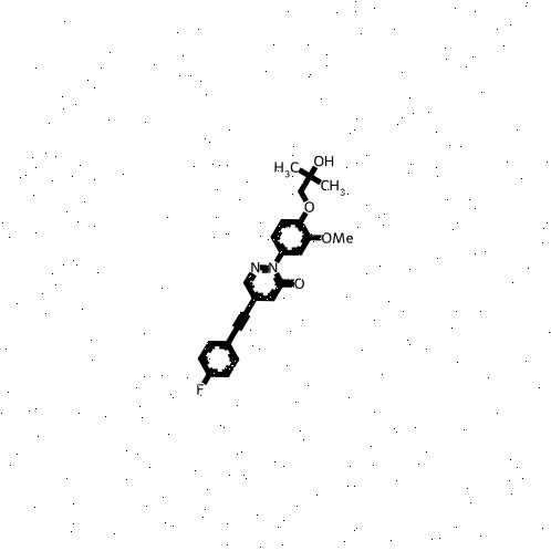 COc1cc(-n2ncc(C#Cc3ccc(F)cc3)cc2=O)ccc1OCC(C)(C)O